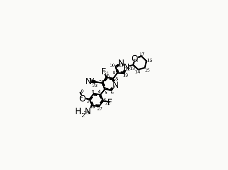 COc1cc(-c2cnc(-c3cnn(C4CCCCO4)c3)c(F)c2C#N)c(F)cc1N